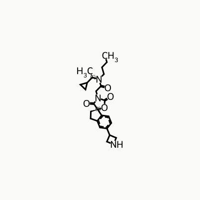 CCCCN(C(=O)CN1C(=O)O[C@@]2(CCc3cc(C4CNC4)ccc32)C1=O)[C@@H](C)C1CC1